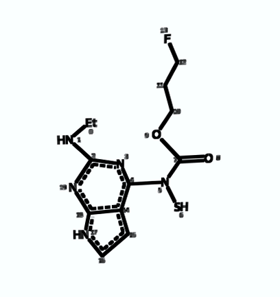 CCNc1nc(N(S)C(=O)OCCCF)c2cc[nH]c2n1